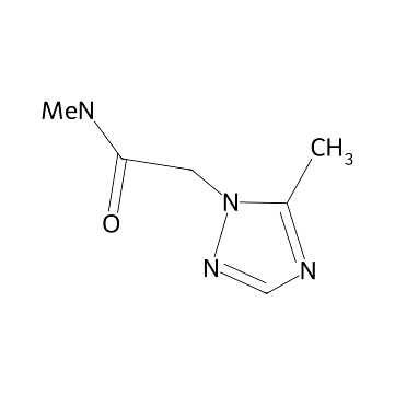 CNC(=O)Cn1ncnc1C